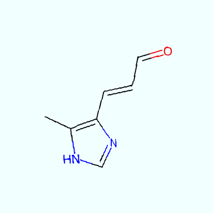 Cc1[nH]cnc1C=CC=O